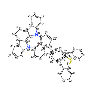 c1ccc2c(c1)sc1ccc(-c3ccc(-n4c5ccccc5c5ccc6c7ccccc7n(-c7ccc(-c8ccc9sc%10ccccc%10c9c8)cc7)c6c54)cc3)cc12